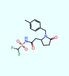 Cc1ccc(CN2C(=O)CCC2CC(=O)NS(=O)(=O)C(F)F)cc1